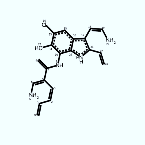 C=C/C=C\C(=C/N)C(=C)Nc1c(O)c(Cl)cc2c(/C=C\N)c(C=C)[nH]c12